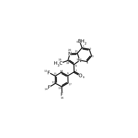 Bc1cccn2c(C(=O)c3cc(F)c(F)c(F)c3)c(C)nc12